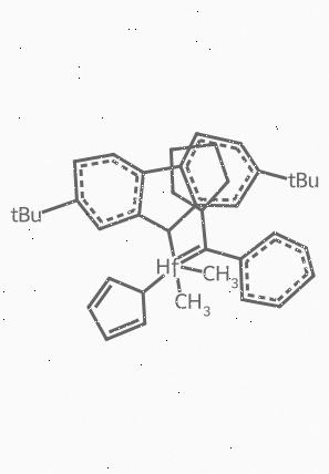 CC(C)(C)c1ccc2c(c1)[CH]([Hf]([CH3])([CH3])(=[C](c1ccccc1)C1CCCC1)[CH]1C=CC=C1)c1cc(C(C)(C)C)ccc1-2